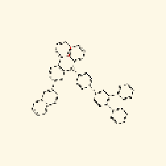 c1ccc(-c2ccc(-c3ccc(N(c4ccccc4)c4cc(-c5ccc6ccccc6c5)ccc4-c4ccccc4)cc3)cc2-c2ccccc2)cc1